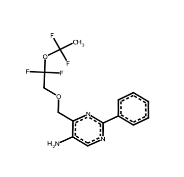 CC(F)(F)OC(F)(F)COCc1nc(-c2ccccc2)ncc1N